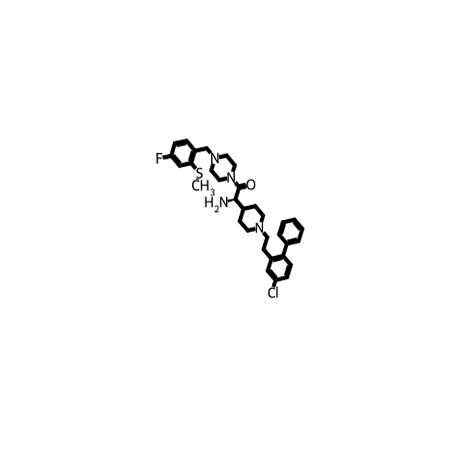 CSc1cc(F)ccc1CN1CCN(C(=O)[C@H](N)C2CCN(CCc3cc(Cl)ccc3-c3ccccc3)CC2)CC1